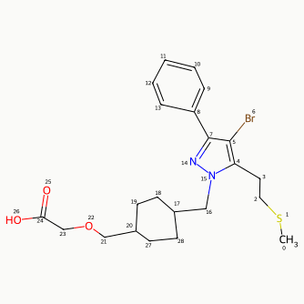 CSCCc1c(Br)c(-c2ccccc2)nn1CC1CCC(COCC(=O)O)CC1